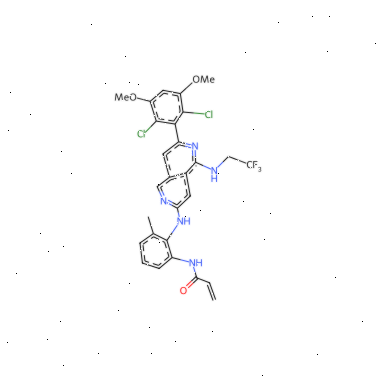 C=CC(=O)Nc1cccc(C)c1Nc1cc2c(NCC(F)(F)F)nc(-c3c(Cl)c(OC)cc(OC)c3Cl)cc2cn1